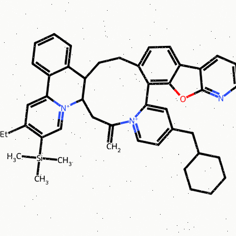 C=C1CC2C(CCc3ccc4c(oc5ncccc54)c3-c3cc(CC4CCCCC4)cc[n+]31)c1ccccc1-c1cc(CC)c([Si](C)(C)C)c[n+]12